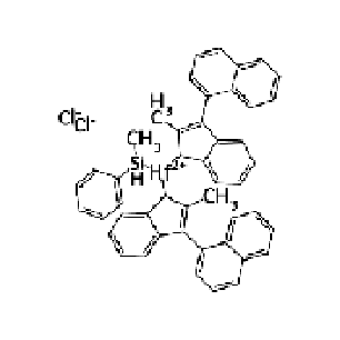 CC1=C(c2cccc3ccccc23)c2ccccc2[CH]1[Hf+2]([CH]1C(C)=C(c2cccc3ccccc23)c2ccccc21)[SiH](C)c1ccccc1.[Cl-].[Cl-]